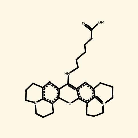 O=C(O)CCCCCNC1=c2cc3c4c(c2Oc2c1cc1c5c2CCCN5CCC1)CCC[N+]=4CCC3